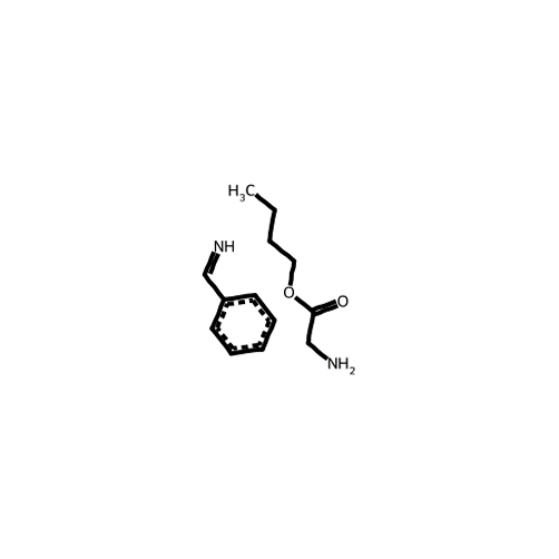 CCCCOC(=O)CN.N=Cc1ccccc1